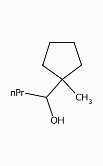 CCCC(O)C1(C)CCCC1